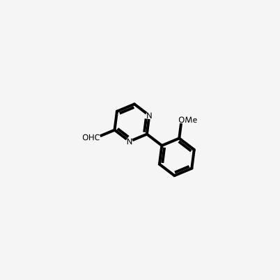 COc1ccccc1-c1nccc(C=O)n1